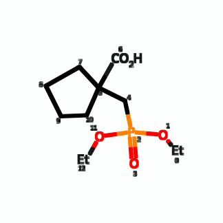 CCOP(=O)(CC1(C(=O)O)CCCC1)OCC